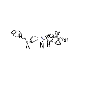 C/C(=C(/C#N)C(=O)N[C@H]1CO[C@H](CO)[C@@H](O)[C@@H]1O)c1ccc(NCCN2CCOCC2)cc1